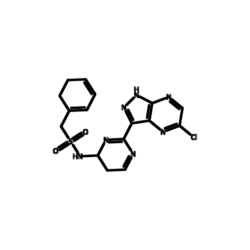 O=S(=O)(CC1=CC=CCC1)NC1CC=NC(c2n[nH]c3ncc(Cl)nc23)=N1